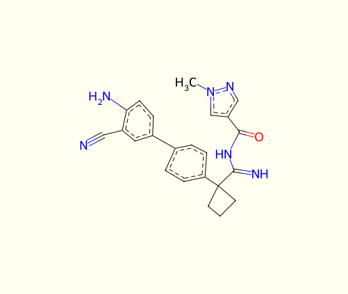 Cn1cc(C(=O)NC(=N)C2(c3ccc(-c4ccc(N)c(C#N)c4)cc3)CCC2)cn1